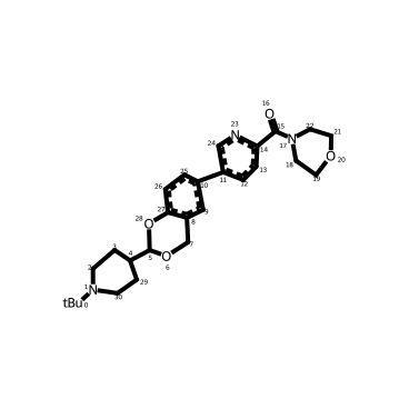 CC(C)(C)N1CCC(C2OCc3cc(-c4ccc(C(=O)N5CCOCC5)nc4)ccc3O2)CC1